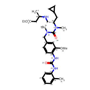 CCOC(=O)C[C@@H](C)NC[C@H](CC1CC1)N(C)C(=O)N(Cc1ccc(NC(=O)Nc2ccccc2C)c(OC)c1)C(C)(C)C